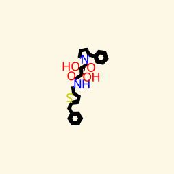 O=C(NCC1CC=C(Cc2ccccc2)S1)C(O)[C@@H](O)C(=O)N1CCCC1c1ccccc1